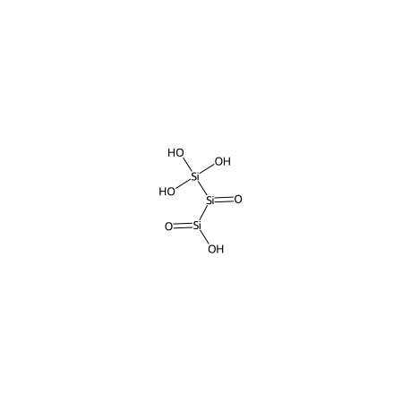 O=[Si](O)[Si](=O)[Si](O)(O)O